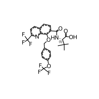 CC(C)(C)[C@H](NC(=O)c1ccc2ccc(C(F)(F)F)nc2c1OCc1ccc(OC(F)(F)F)cc1)C(=O)O